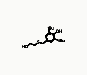 CC(C)(C)c1cc(CSCCO)cc(C(C)(C)C)c1O